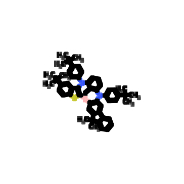 CC(C)(C)c1ccc(N2c3cc4c(cc3B3Cc5c2cccc5N(c2ccc(C(C)(C)C)cc2)c2c3sc3ccc(C(C)(C)C)cc23)C(C)(C)c2ccccc2-4)cc1